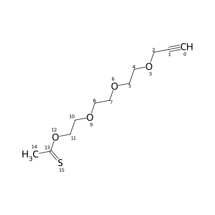 C#CCOCCOCCOCCOC(C)=S